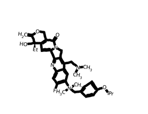 C=C1OCc2c(cc3n(c2=O)Cc2c-3nc3cc(F)c([N+](C)(C)Cc4ccc(OC(C)C)cc4)cc3c2CN(C)C)[C@@]1(O)CC